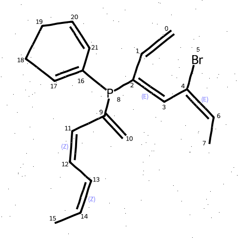 C=C/C(=C\C(Br)=C/C)P(C(=C)/C=C\C=C/C)C1=CCCC=C1